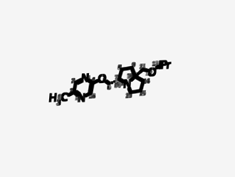 Cc1cnc(OC[C@@H]2CC[C@]3(COC(C)C)CCCN23)cn1